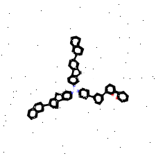 CC1(C)c2cc(-c3ccc4ccccc4c3)ccc2-c2ccc(N(c3ccc(-c4cccc(-c5cccc6c5oc5ccccc56)c4)cc3)c3ccc4c(c3)C(C)(C)c3cc(-c5ccc6ccccc6c5)ccc3-4)cc21